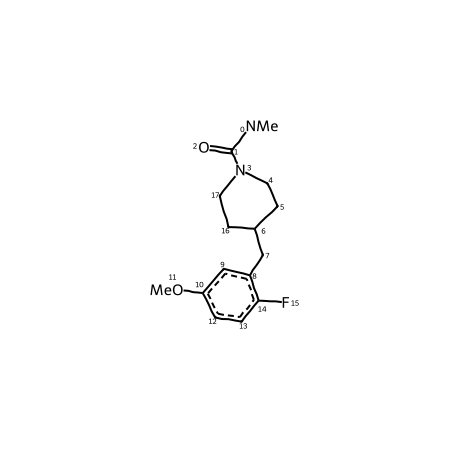 CNC(=O)N1CCC(Cc2cc(OC)ccc2F)CC1